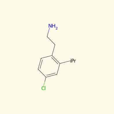 CC(C)c1cc(Cl)ccc1CCN